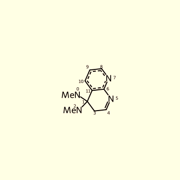 CNC1(NC)CC=Nc2ncccc21